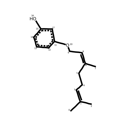 CC(C)=CCCC(C)=CCOc1cccc(O)c1